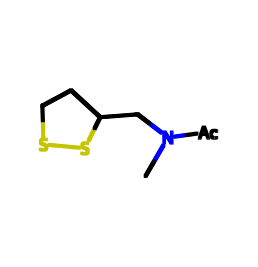 CC(=O)N(C)CC1CCSS1